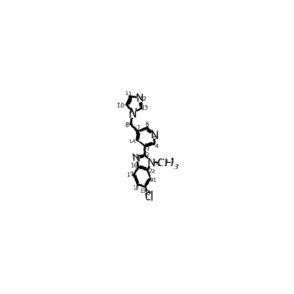 Cn1c(-c2cncc(Cn3ccnc3)c2)nc2ccc(Cl)cc21